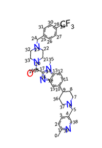 Cc1ccc(CN2CCC(c3ccc4c(c3)nc(C(=O)N3CCN(Cc5ccc(C(F)(F)F)cc5)CC3)n4C)CC2)cn1